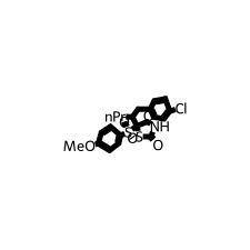 CCCC(Cc1ccc(Cl)cc1)C1(S(=O)(=O)c2ccc(OC)cc2)SC(=O)NC1=O